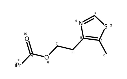 Cc1scnc1CCOC(=O)C(C)C